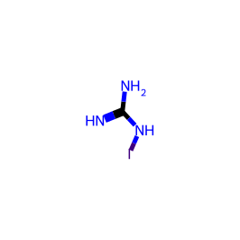 N=C(N)NI